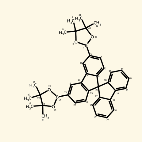 CC1(C)OB(c2ccc3c(c2)-c2cc(B4OC(C)(C)C(C)(C)O4)ccc2C32c3ccccc3-c3ccccc32)OC1(C)C